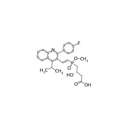 COP(=O)(/C=C/c1c(-c2ccc(F)cc2)nc2ccccc2c1C(C)C)C[C@@H](O)CC(=O)O